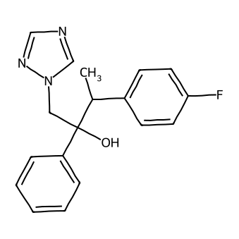 CC(c1ccc(F)cc1)C(O)(Cn1cncn1)c1ccccc1